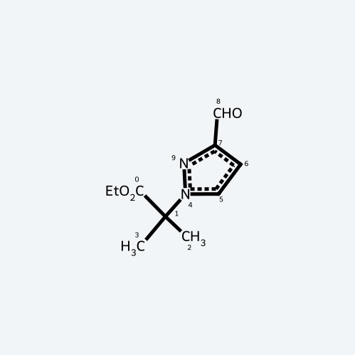 CCOC(=O)C(C)(C)n1ccc(C=O)n1